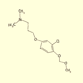 COCOc1ccc(OCCCN(C)C)cc1Cl